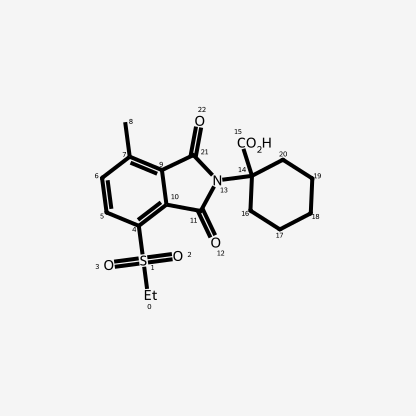 CCS(=O)(=O)c1ccc(C)c2c1C(=O)N(C1(C(=O)O)CCCCC1)C2=O